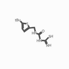 CC(C)(C)c1ccc(CNC(=O)NC(=N)S)s1